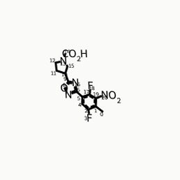 Cc1c(F)cc(-c2noc(C3CCN(C(=O)O)C3)n2)c(F)c1[N+](=O)[O-]